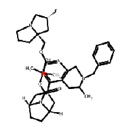 CC1Cc2c(nc(OC[C@@]34CCCN3C[C@H](F)C4)nc2N2C[C@H]3CC[C@@H](C2)N3C(=O)OC(C)(C)C)CN1Cc1ccccc1